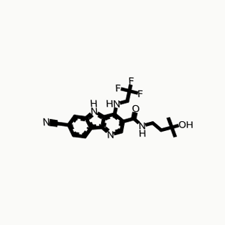 CC(C)(O)CCNC(=O)c1cnc2c([nH]c3cc(C#N)ccc32)c1NCC(F)(F)F